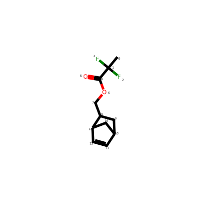 CC(F)(F)C(=O)OCC1CC2C=CC1C2